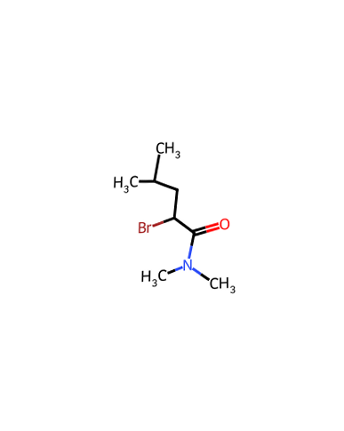 CC(C)CC(Br)C(=O)N(C)C